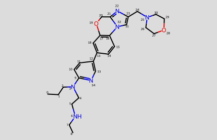 CCCN(CCNCC)c1ccc(-c2ccc3c(c2)OCc2nc(CN4CCOCC4)cn2-3)cn1